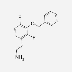 NCCc1ccc(F)c(OCc2ccccc2)c1F